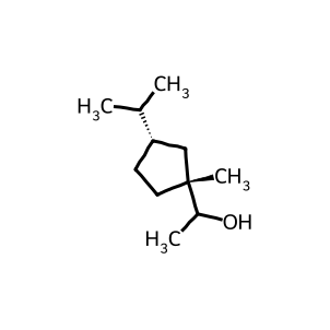 CC(C)[C@H]1CC[C@@](C)(C(C)O)C1